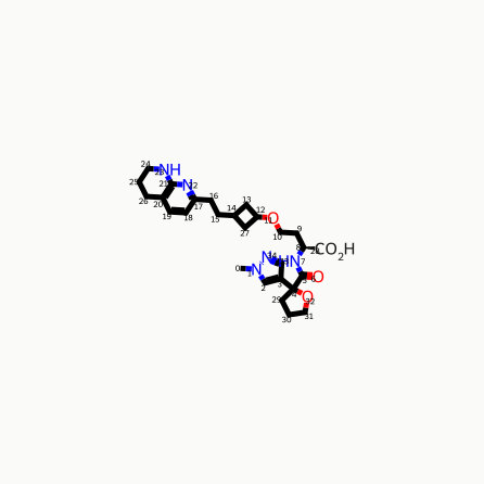 Cn1cc(C2(C(=O)N[C@@H](CCOC3CC(CCc4ccc5c(n4)NCCC5)C3)C(=O)O)CCCO2)cn1